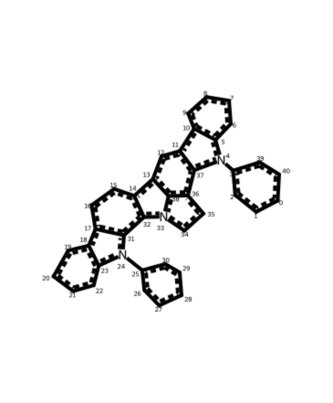 c1ccc(-n2c3ccccc3c3cc4c5ccc6c7ccccc7n(-c7ccccc7)c6c5n5ccc(c32)c45)cc1